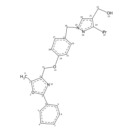 Cc1oc(-c2ccccc2)nc1COc1ccc(Cn2cc(CO)c(C(C)C)n2)cc1